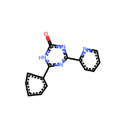 O=c1nc(-c2ccccn2)nc(-c2ccccc2)[nH]1